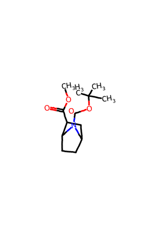 COC(=O)C1CC2CCC1N2C(=O)OC(C)(C)C